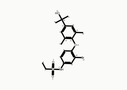 CCS(=O)(=O)Nc1ccc(Oc2c(C)cc(C(C)(C)O)cc2C)c(Br)c1